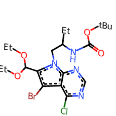 CCOC(OCC)c1c(Br)c2c(Cl)ncnc2n1CC(CC)NC(=O)OC(C)(C)C